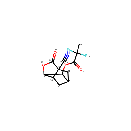 CC(F)(F)C(=O)OC1C2CC3C1OC(=O)C3(C#N)C2